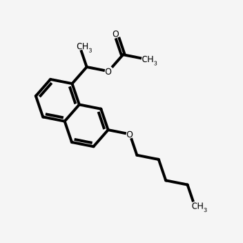 CCCCCOc1ccc2cccc(C(C)OC(C)=O)c2c1